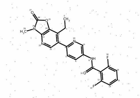 CCc1c(-c2ccc(NC(=O)c3c(F)cccc3F)cn2)cnc2c1oc(=O)n2C